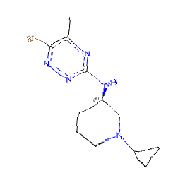 Cc1nc(N[C@@H]2CCCN(C3CC3)C2)nnc1Br